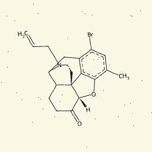 C=CCN1CC[C@@]23c4c5c(Br)cc(C)c4O[C@@H]2C(=O)CCC3C1C5